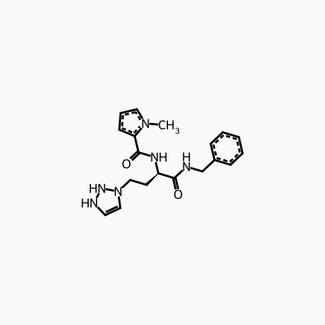 Cn1cccc1C(=O)N[C@H](CCN1C=CNN1)C(=O)NCc1ccccc1